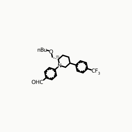 CCCCOC[C@@H]1CCC(c2ccc(C(F)(F)F)cc2)CN1c1ccc(C=O)cc1